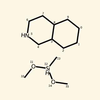 C1CCC2CNCCC2C1.CO[SiH](C)OC